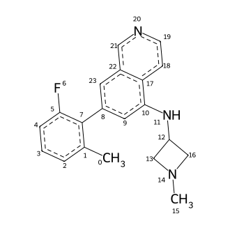 Cc1cccc(F)c1-c1cc(NC2CN(C)C2)c2ccncc2c1